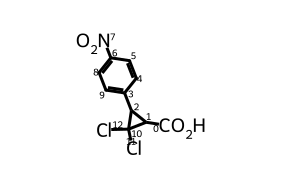 O=C(O)C1C(c2ccc([N+](=O)[O-])cc2)C1(Cl)Cl